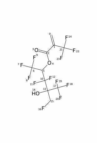 C=C(C(=O)OC(C(F)(F)F)C(F)(F)C(O)(CF)C(F)(F)F)C(F)(F)F